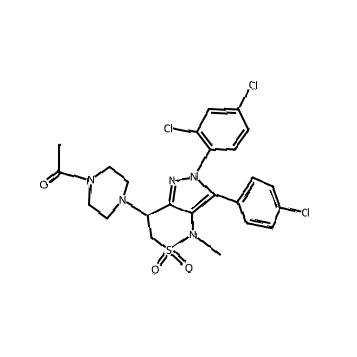 CC(=O)N1CCN(C2CS(=O)(=O)N(C)c3c2nn(-c2ccc(Cl)cc2Cl)c3-c2ccc(Cl)cc2)CC1